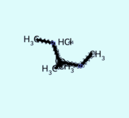 CCCCCCCC/C=C\CCCCCCCCOC(OCCCCCCCC/C=C\CCCCCCCC)N(C)CCC.Cl